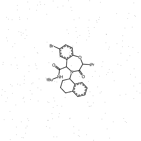 CC(C)C1Oc2ccc(Br)cc2C(C(=O)NC(C)(C)C)N(C2CCCc3ccccc32)C1=O